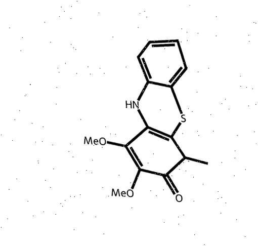 COC1=C(OC)C2=C(Sc3ccccc3N2)C(C)C1=O